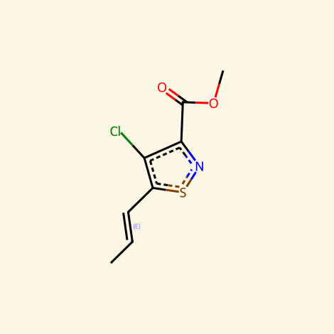 C/C=C/c1snc(C(=O)OC)c1Cl